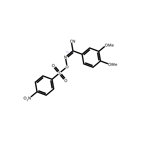 COc1ccc(/C(C#N)=N\OS(=O)(=O)c2ccc([N+](=O)[O-])cc2)cc1OC